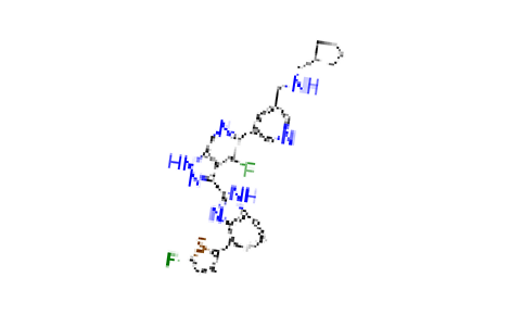 Fc1ccc(-c2cccc3[nH]c(-c4n[nH]c5cnc(-c6cncc(CNCC7CCCC7)c6)c(F)c45)nc23)s1